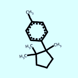 Cc1ccc(C2(C)CCCC2(C)C)cc1